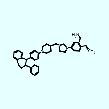 C=Cc1ccc(N2CCN(CC3CCN(c4ccc(C5c6ccccc6CCC5C5=CC=CCC5)cc4)CC3)C2)cc1CN